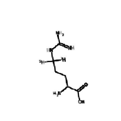 [2H]C([2H])(CCC(N)C(=O)O)NC(=N)N